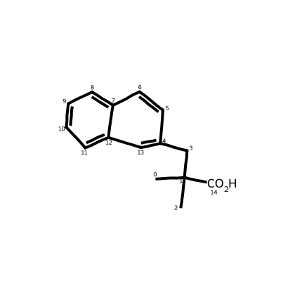 CC(C)(Cc1ccc2ccccc2c1)C(=O)O